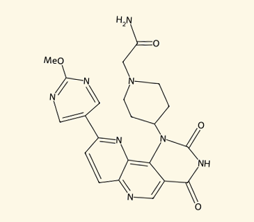 COc1ncc(-c2ccc3ncc4c(=O)[nH]c(=O)n(C5CCN(CC(N)=O)CC5)c4c3n2)cn1